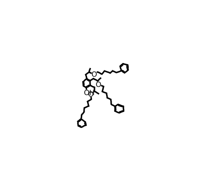 CC(Cc1ccc(O)c(CC(C)OCCCCCCc2ccccc2)c1CC(C)OCCCCCCc1ccccc1)OCCCCCCc1ccccc1